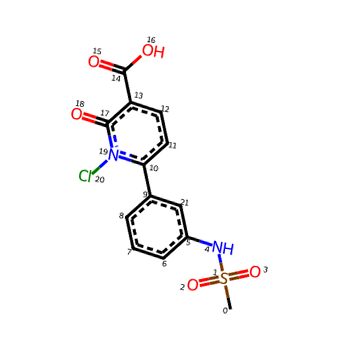 CS(=O)(=O)Nc1cccc(-c2ccc(C(=O)O)c(=O)n2Cl)c1